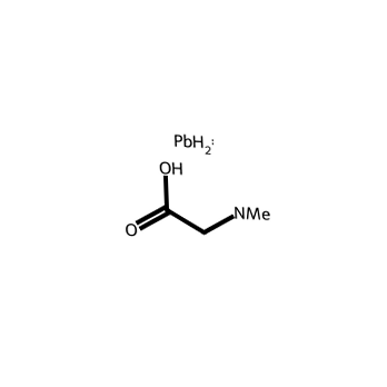 CNCC(=O)O.[PbH2]